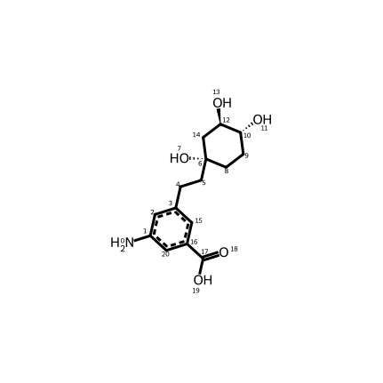 Nc1cc(CC[C@]2(O)CC[C@@H](O)[C@H](O)C2)cc(C(=O)O)c1